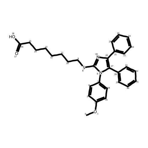 COc1ccc(-n2c(SCCCCCCCC(=O)O)nc(-c3ccccc3)c2-c2ccccc2)cc1